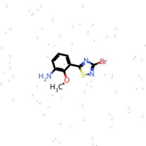 COc1c(N)cccc1-c1nc(Br)ns1